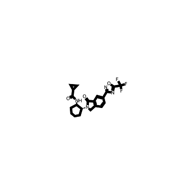 O=C(N[C@@H]1CCCC[C@H]1N1Cc2ccc(-c3noc(C(F)(F)F)n3)cc2C1=O)C1CC1